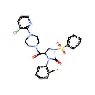 O=C(C1CN(S(=O)(=O)c2ccccc2)C(=O)N1c1ccccc1Cl)N1CCN(c2ncccc2Cl)CC1